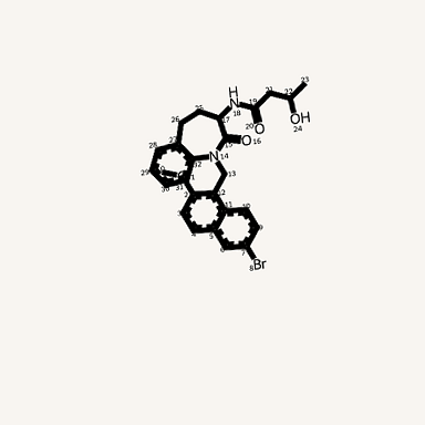 COc1ccc2cc(Br)ccc2c1CN1C(=O)C(NC(=O)CC(C)O)CCc2ccccc21